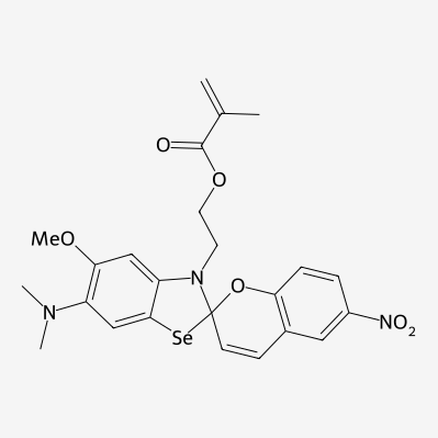 C=C(C)C(=O)OCCN1c2cc(OC)c(N(C)C)cc2[Se]C12C=Cc1cc([N+](=O)[O-])ccc1O2